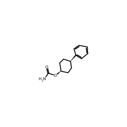 NC(=O)O[C@H]1CC[C@@H](c2ccccc2)CC1